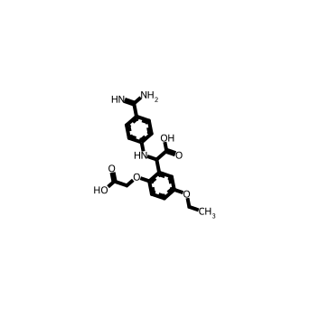 CCOc1ccc(OCC(=O)O)c(C(Nc2ccc(C(=N)N)cc2)C(=O)O)c1